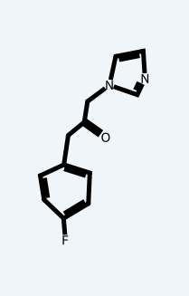 O=C(Cc1ccc(F)cc1)Cn1ccnc1